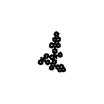 c1ccc(-c2nc3ccc(-c4cccc(-c5nc6ccccc6n5-c5ccc(-c6c7ccccc7c(-c7cc8ccc9cccc%10ccc(c7)c8c9%10)c7ccccc67)cc5)c4)cc3n2-c2ccc(-c3c4ccccc4c(-c4ccc5c6c(cccc46)-c4ccccc4-5)c4ccccc34)cc2)cc1